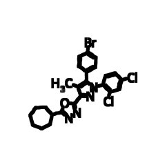 Cc1c(-c2nnc(C3CCCCCC3)o2)nn(-c2ccc(Cl)cc2Cl)c1-c1ccc(Br)cc1